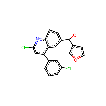 OC(c1ccoc1)c1ccc2nc(Cl)cc(-c3cccc(Cl)c3)c2c1